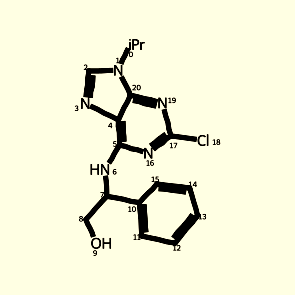 CC(C)n1cnc2c(NC(CO)c3ccccc3)nc(Cl)nc21